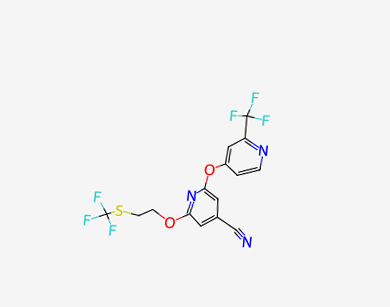 N#Cc1cc(OCCSC(F)(F)F)nc(Oc2ccnc(C(F)(F)F)c2)c1